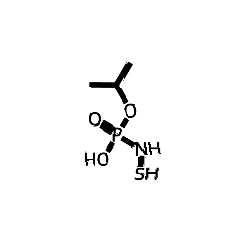 CC(C)OP(=O)(O)NS